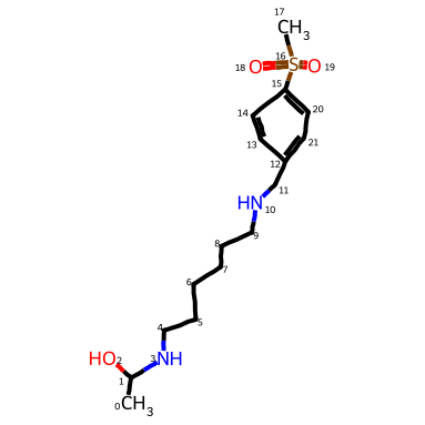 CC(O)NCCCCCCNCc1ccc(S(C)(=O)=O)cc1